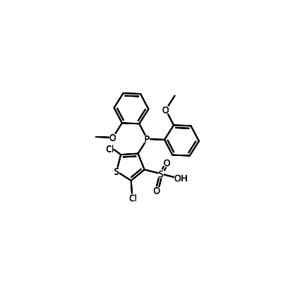 COc1ccccc1P(c1ccccc1OC)c1c(Cl)sc(Cl)c1S(=O)(=O)O